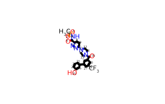 CS(=O)(=O)NC(=O)c1ccc(N2CCN(C(=O)c3cc(-c4cccc(O)c4)cc(C(F)(F)F)c3)CC2)nn1